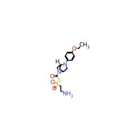 CCOc1ccc(N2CC3C[C@H]2CN3C(=O)SS(=O)(=O)CCN)cc1